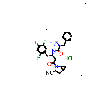 Cl.N#CC1CC2CC2N1C(=O)CC(Cc1cc(F)c(F)cc1F)NC(=O)C(N)Cc1ccccc1